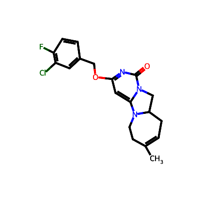 CC1=CCC2Cn3c(cc(OCc4ccc(F)c(Cl)c4)nc3=O)N2CC1